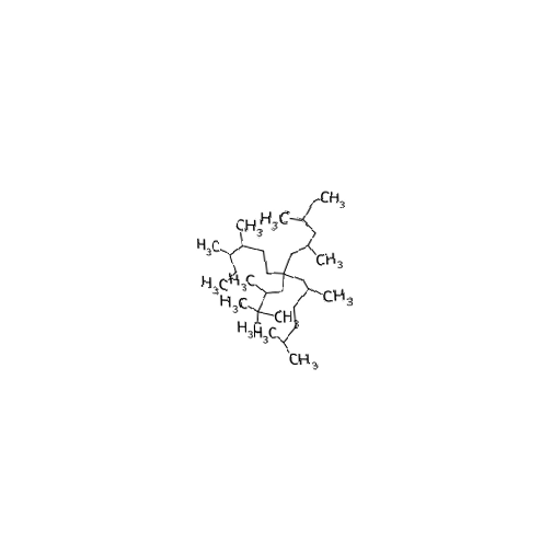 CCC(C)CC(C)CC(CCC(C)C(C)CC)(CC(C)CCC(C)C)CC(C)C(C)(C)C